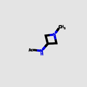 CC(=O)NC1CN(C)C1